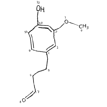 COc1cc(CC[C]=O)ccc1O